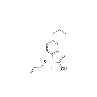 C=CCSC(C)(C(=O)O)c1ccc(CC(C)C)cc1